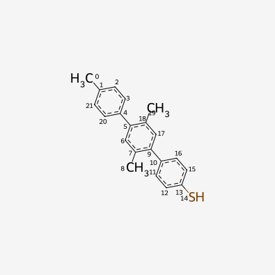 Cc1ccc(-c2cc(C)c(-c3ccc(S)cc3)cc2C)cc1